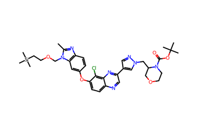 Cc1nc2ccc(Oc3ccc4ncc(-c5cnn(CC6COCCN6C(=O)OC(C)(C)C)c5)nc4c3Cl)cc2n1COCC[Si](C)(C)C